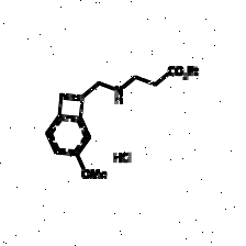 CCOC(=O)CCNCC1=Cc2ccc(OC)cc21.Cl